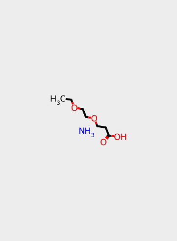 CCOCCOCCC(=O)O.N